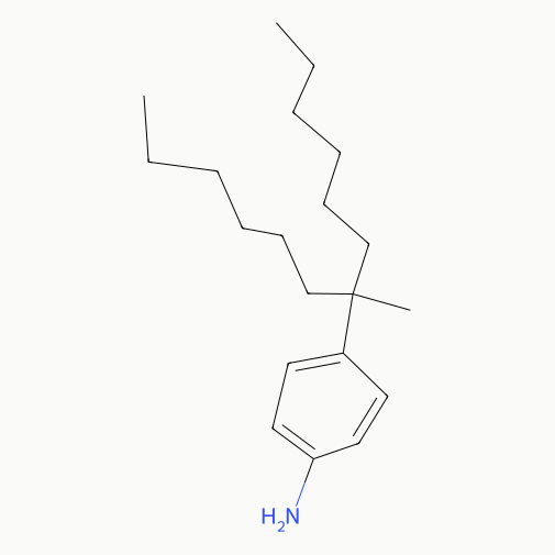 CCCCCCC(C)(CCCCCC)c1ccc(N)cc1